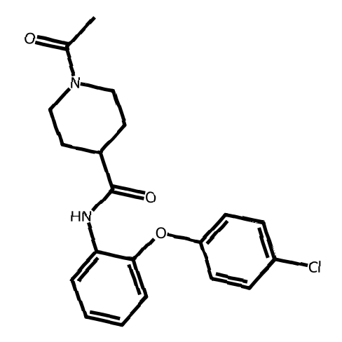 CC(=O)N1CCC(C(=O)Nc2ccccc2Oc2ccc(Cl)cc2)CC1